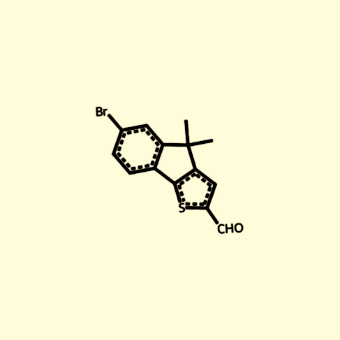 CC1(C)c2cc(Br)ccc2-c2sc(C=O)cc21